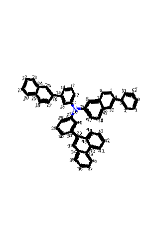 c1ccc(-c2ccc3cc(N(c4cccc(-c5ccc6ccccc6c5)c4)c4cccc(-c5cc6ccccc6c6ccccc56)c4)ccc3c2)cc1